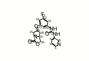 O=C(Nc1cccnc1)Nc1cc(F)cc(O[C@H]2CC3COC(=O)N3C2)c1